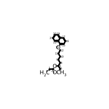 C=CC(=O)OC(CC)CCCCCOc1cccc2ccccc12